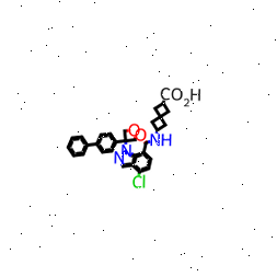 O=C(NC1CC2(C1)CC(C(=O)O)C2)c1ccc(Cl)c2cnn(C3(c4ccc(-c5ccccc5)cc4)COC3)c12